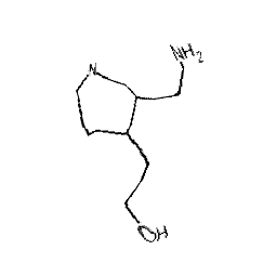 NCC1[N]CCC1CCO